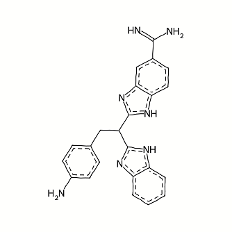 N=C(N)c1ccc2[nH]c(C(Cc3ccc(N)cc3)c3nc4ccccc4[nH]3)nc2c1